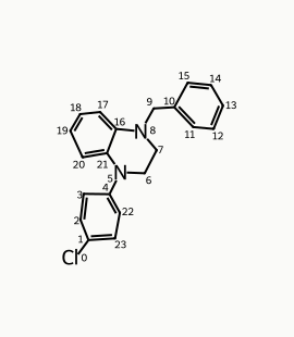 Clc1ccc(N2CCN(Cc3ccccc3)c3ccccc32)cc1